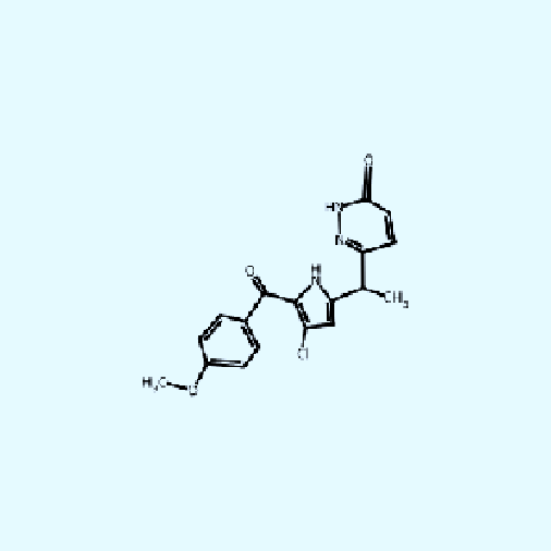 COc1ccc(C(=O)c2[nH]c(C(C)c3ccc(=O)[nH]n3)cc2Cl)cc1